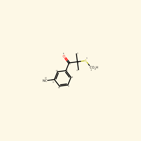 CC(C)(SC(=O)O)C(=O)c1cccc(C#N)c1